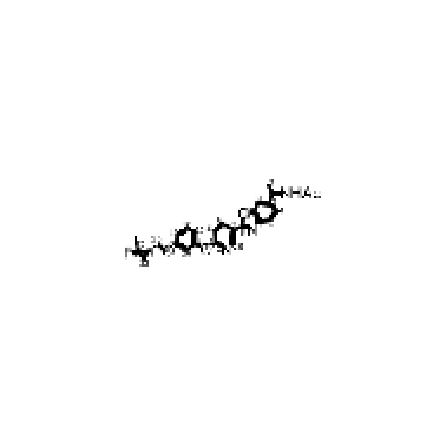 CC(=O)NC(C)c1ccc2nc(-c3ccc(Oc4cccc(OC[C@@H]5CC5(F)F)c4)nc3)oc2c1